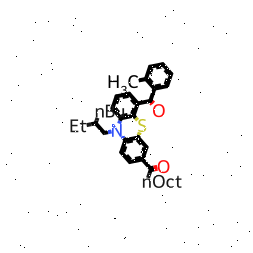 CCCCCCCCC(=O)c1ccc2c(c1)Sc1c(C(=O)c3ccccc3C)cccc1N2CC(CC)CCCC